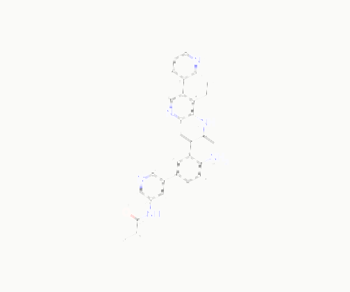 C=C(Nc1cncc(-c2cccnc2)c1CC)C(=C)c1cc(-c2cncc(NC(=O)CC)c2)ccc1N